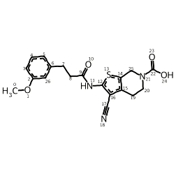 COc1cccc(CCC(=O)Nc2sc3c(c2C#N)CCN(C(=O)O)C3)c1